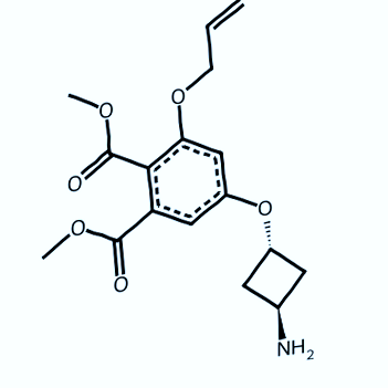 C=CCOc1cc(O[C@H]2C[C@H](N)C2)cc(C(=O)OC)c1C(=O)OC